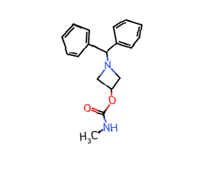 CNC(=O)OC1CN(C(c2ccccc2)c2ccccc2)C1